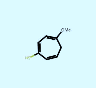 COC1=CC=C(S)C=CC1